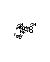 Cc1cc2c(N3C[C@H]4CC[C@@H](C3)N4C(=O)O)nc(OC[C@@]34CCCN3C[C@H](F)C4)nc2c(F)c1-c1cc(O)cc2ccccc12